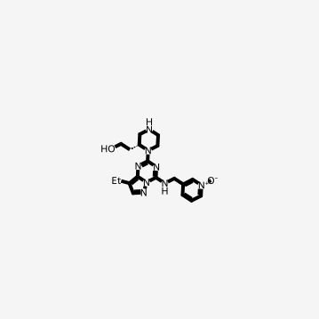 CCc1cnn2c(NCc3ccc[n+]([O-])c3)nc(N3CCNC[C@H]3CCO)nc12